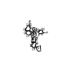 Cc1ccc(S(=O)(=O)N2c3cc(F)ccc3CC[C@H]2CCc2ccc(Cl)cc2F)cc1